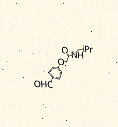 CC(C)CNC(=O)COc1ccc(C=O)cc1